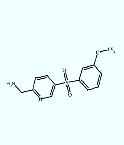 NCc1ccc(S(=O)(=O)c2cccc(OC(F)(F)F)c2)cn1